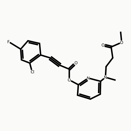 COC(=O)CCN(C)c1cccc(OC(=O)C#Cc2ccc(F)cc2Cl)n1